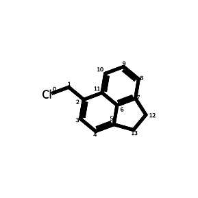 ClCc1ccc2c3c(cccc13)CC2